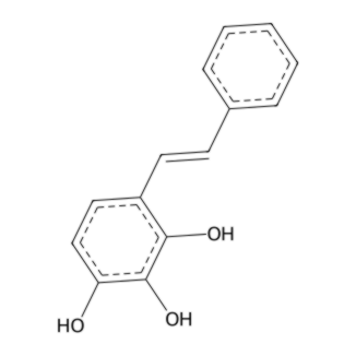 Oc1ccc(C=Cc2ccccc2)c(O)c1O